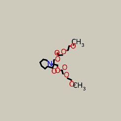 COCCOCC(=O)OCC1(COC(=O)COCCOC)C(=O)C2CCCCCN21